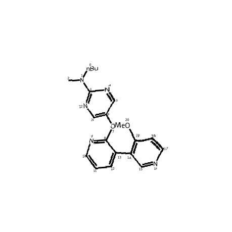 CCCCN(C)c1ncc(Oc2ncccc2-c2cnccc2OC)cn1